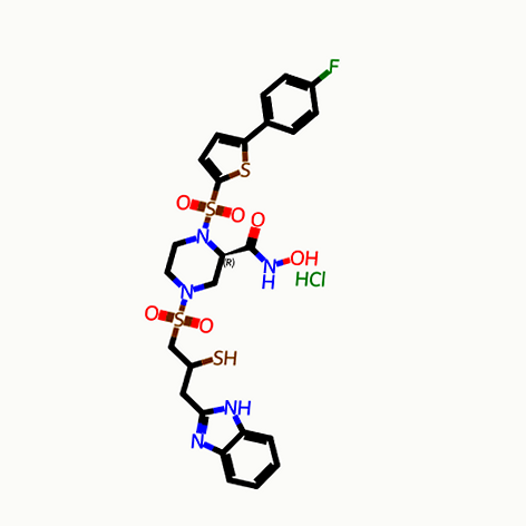 Cl.O=C(NO)[C@H]1CN(S(=O)(=O)CC(S)Cc2nc3ccccc3[nH]2)CCN1S(=O)(=O)c1ccc(-c2ccc(F)cc2)s1